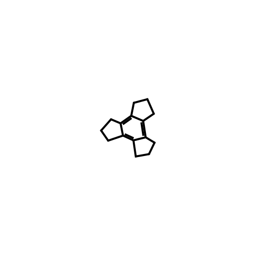 C1Cc2c3c(c4c(c2C1)CCC4)CCC3